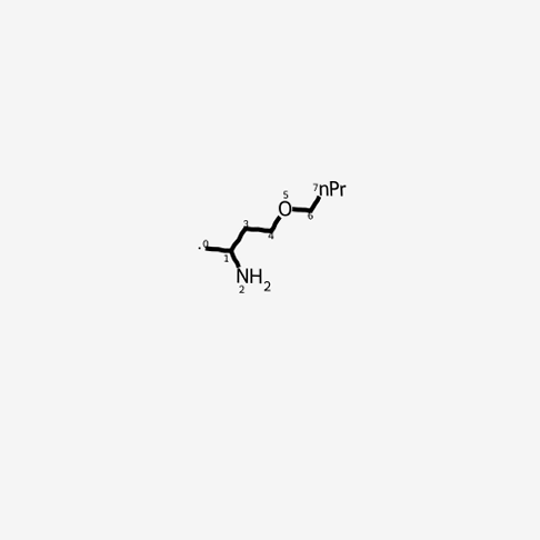 [CH2]C(N)CCOCCCC